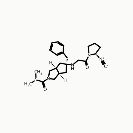 [C-]#[N+][C@@H]1CCCN1C(=O)CN[C@@]1(Cc2ccccc2)C[C@H]2CN(C(=O)N(C)C)C[C@H]2C1